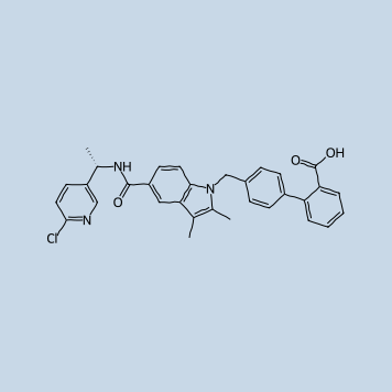 Cc1c(C)n(Cc2ccc(-c3ccccc3C(=O)O)cc2)c2ccc(C(=O)N[C@@H](C)c3ccc(Cl)nc3)cc12